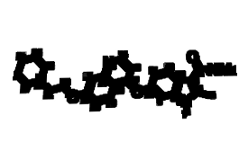 CNC(=O)c1c(C)n(C)c2cc(Oc3ccnc4cc(OCCN5CCCCC5)ccc34)ccc12